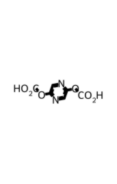 O=C(O)Oc1cnc(OC(=O)O)cn1